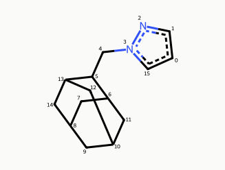 c1cnn(CC2C3CC4CC(C3)CC2C4)c1